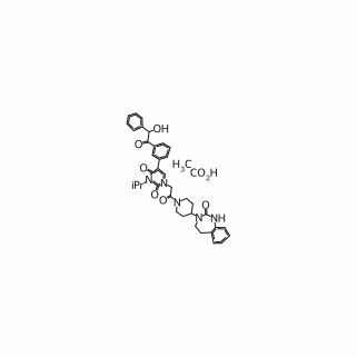 CC(=O)O.CC(C)n1c(=O)c(-c2cccc(C(=O)C(O)c3ccccc3)c2)cn(CC(=O)N2CCC(N3CCc4ccccc4NC3=O)CC2)c1=O